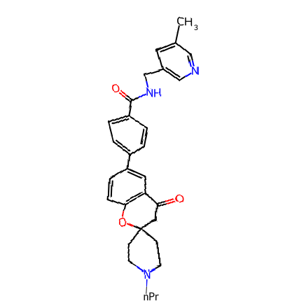 CCCN1CCC2(CC1)CC(=O)c1cc(-c3ccc(C(=O)NCc4cncc(C)c4)cc3)ccc1O2